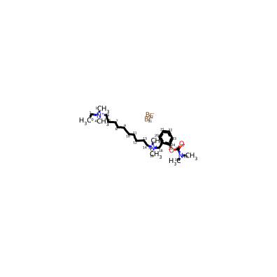 CC[N+](C)(C)CCCCCCCCCC[N+](C)(C)Cc1ccccc1OC(=O)N(C)C.[Br-].[Br-]